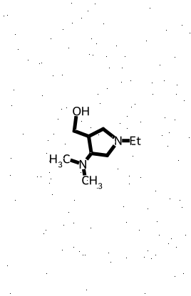 CCN1CC(CO)C(N(C)C)C1